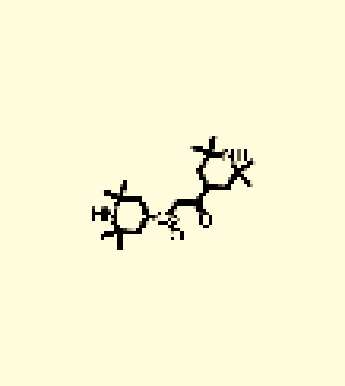 CC1(C)CC(C(=O)[CH2][Co](=[O])[CH]2CC(C)(C)NC(C)(C)C2)CC(C)(C)N1